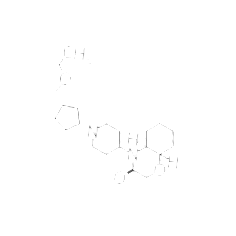 CCOC[C@H]1CC[C@@H](N2CCC(N3C(=O)CO[C@H]4CCCC[C@@H]43)CC2)C1